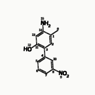 Cc1cc(-c2cccc([N+](=O)[O-])c2)c(O)cc1N